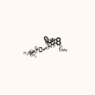 CCc1cccc2cc(OCOC)cc(-c3ncc4c(N5CC6CCC(C5)N6C(=O)OC(C)(C)C)nc(OCCN5CCN(C(=O)OCC[Si](C)(C)C)CC5)nc4c3F)c12